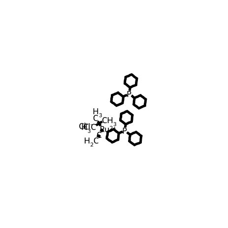 C1CCC(P(C2CCCCC2)C2CCCCC2)CC1.C1CCC(P(C2CCCCC2)C2CCCCC2)CC1.C=[C]=[Ru+2][C](C)(C)C.[Cl-].[Cl-]